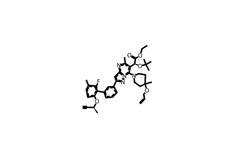 C#C[C@H](C)Oc1ccc(C)c(F)c1-c1cccc(-c2cc3nc(C)c([C@H](OC(C)(C)C)C(=O)OCC)c(N4CCC(C)(OCC=C)CC4)n3n2)c1